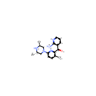 CC[C@H]1CN(c2ccc(C(F)(F)F)c(C(=O)c3cccnc3N)n2)C[C@H](C(C)C)N1